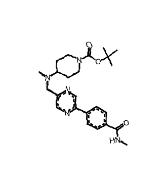 CNC(=O)c1ccc(-c2cnc(CN(C)C3CCN(C(=O)OC(C)(C)C)CC3)cn2)cc1